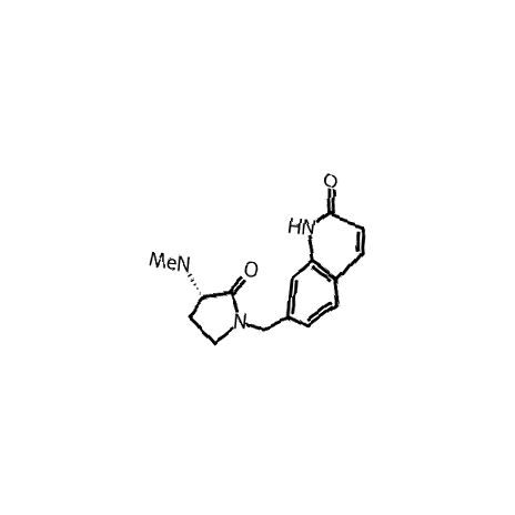 CN[C@H]1CCN(Cc2ccc3ccc(=O)[nH]c3c2)C1=O